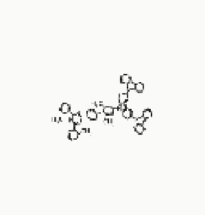 Cc1ccccc1-c1cc(-c2ccc(-c3c(C)cc(-n4c5ccc(-n6c7ccccc7c7ccccc76)cc5c5cc(-n6c7ccccc7c7ccccc76)ccc54)cc3C)cc2)nc(-c2ccccc2C)n1